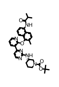 Cc1ccc2c(NC(=O)C(C)C)cccc2c1Oc1ncccc1-c1ccnc(N[C@H]2CCCN(C(=O)OC(C)(C)C)C2)n1